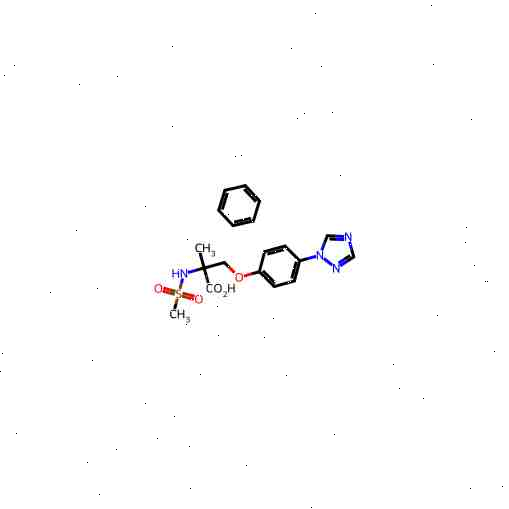 CC(COc1ccc(-n2cncn2)cc1)(NS(C)(=O)=O)C(=O)O.c1ccccc1